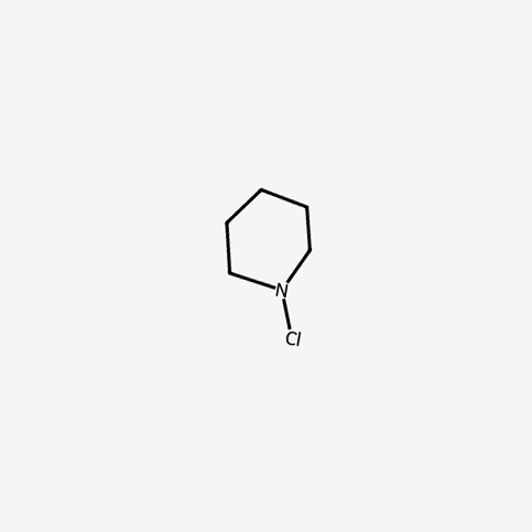 ClN1CCCCC1